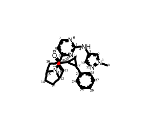 Cn1cc(Nc2nccc(C3=CC4CCC(C3)N4C(=O)C3CC3c3ccccc3)n2)cn1